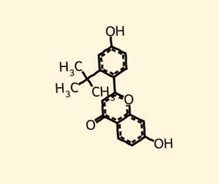 CC(C)(C)c1cc(O)ccc1-c1cc(=O)c2ccc(O)cc2o1